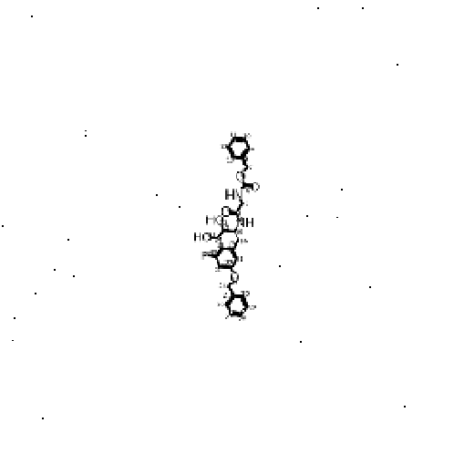 O=C(CNC(=O)OCc1ccccc1)N[C@@H](Cc1cc(F)cc(OCc2ccccc2)c1)[C@H](O)CO